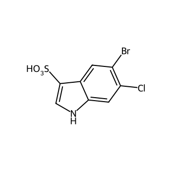 O=S(=O)(O)c1c[nH]c2cc(Cl)c(Br)cc12